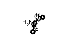 Nc1cc(NCc2ccccc2Cl)cc2nc(-c3ccccc3F)nn12